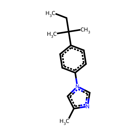 CCC(C)(C)c1ccc(-n2cnc(C)c2)cc1